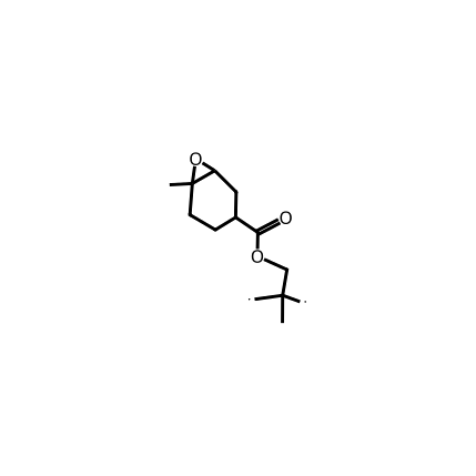 [CH2]C([CH2])(C)COC(=O)C1CCC2(C)OC2C1